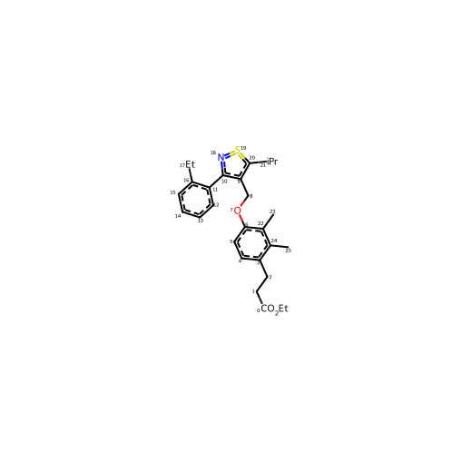 CCOC(=O)CCc1ccc(OCc2c(-c3ccccc3CC)nsc2C(C)C)c(C)c1C